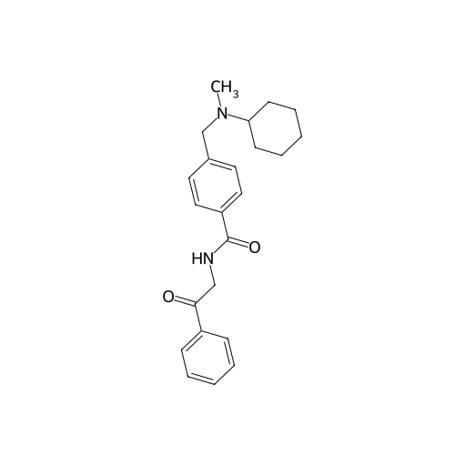 CN(Cc1ccc(C(=O)NCC(=O)c2ccccc2)cc1)C1CCCCC1